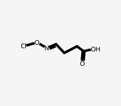 O=C(O)CCC=NOCl